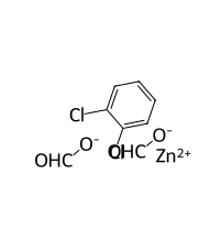 Clc1ccccc1Cl.O=C[O-].O=C[O-].[Zn+2]